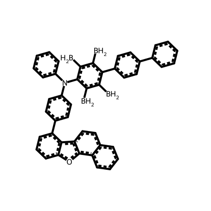 Bc1c(B)c(N(c2ccccc2)c2ccc(-c3cccc4oc5c6ccccc6ccc5c34)cc2)c(B)c(B)c1-c1ccc(-c2ccccc2)cc1